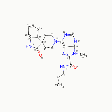 CCCNC(=O)c1nc2c(N3CCC4(CC3)C(=O)Nc3ccccc34)ncnc2n1C